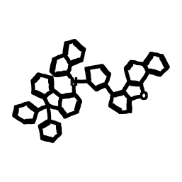 c1ccc(C2(c3ccccc3)c3ccccc3-c3c(N(c4cccc(-c5cccc6oc7c8ccccc8ccc7c56)c4)c4cccc5ccccc45)cccc32)cc1